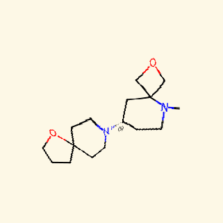 CN1CC[C@H](N2CCC3(CCCO3)CC2)CC12COC2